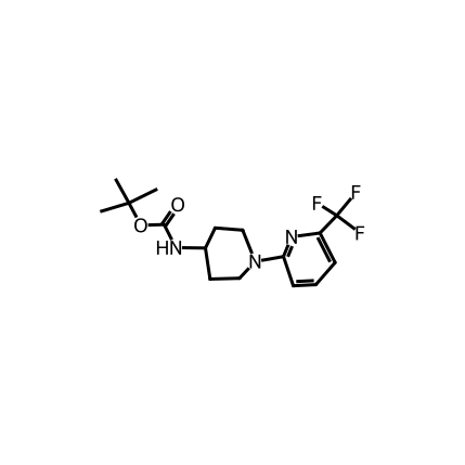 CC(C)(C)OC(=O)NC1CCN(c2cccc(C(F)(F)F)n2)CC1